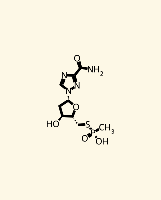 CP(=O)(O)SC[C@H]1O[C@@H](n2cnc(C(N)=O)n2)C[C@@H]1O